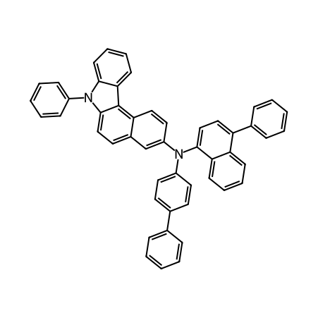 c1ccc(-c2ccc(N(c3ccc4c(ccc5c4c4ccccc4n5-c4ccccc4)c3)c3ccc(-c4ccccc4)c4ccccc34)cc2)cc1